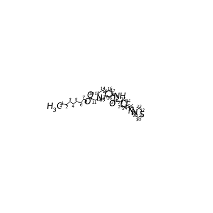 CCCCCCCCOC(=O)CN1CCc2ccc(NC(=O)c3ccc(C=NN4CCSCC4)cc3)cc2C1